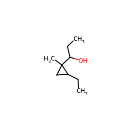 CCC(O)C1(C)CC1CC